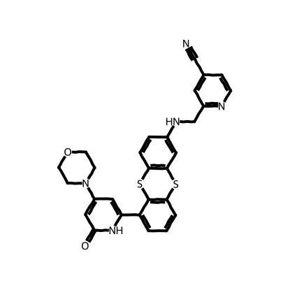 N#Cc1ccnc(CNc2ccc3c(c2)Sc2cccc(-c4cc(N5CCOCC5)cc(=O)[nH]4)c2S3)c1